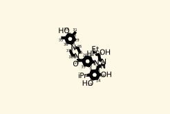 CCNC(O)c1nnc(-c2cc(C(C)C)c(O)cc2O)n1-c1ccc(C(=O)N2CCN(c3cc(C)c(O)c(C)c3)CC2)cc1